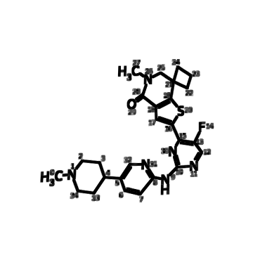 CN1CCC(c2ccc(Nc3ncc(F)c(-c4cc5c(s4)C4(CCC4)CN(C)C5=O)n3)nc2)CC1